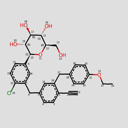 C#Cc1ccc(Cc2cc([C@@H]3O[C@H](CO)[C@@H](O)[C@H](O)[C@H]3O)ccc2Cl)cc1Cc1ccc(OCC)cc1